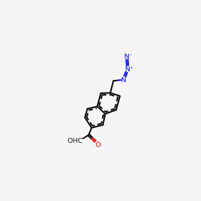 [N-]=[N+]=NCc1ccc2cc(C(=O)C=O)ccc2c1